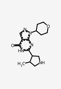 CC1CNCC1c1nc2c(cnn2C2CCOCC2)c(=O)[nH]1